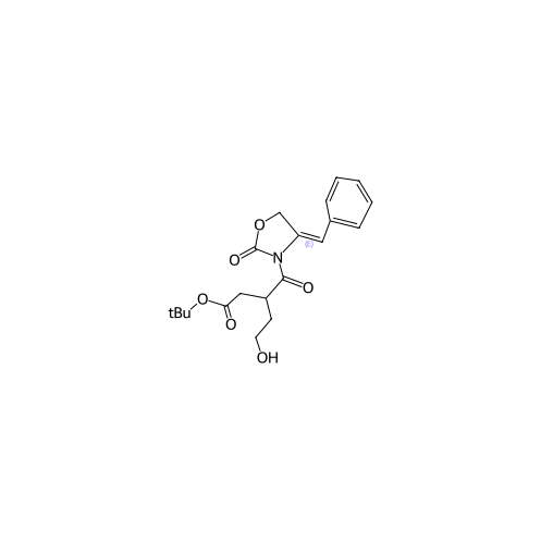 CC(C)(C)OC(=O)CC(CCO)C(=O)N1C(=O)OC/C1=C\c1ccccc1